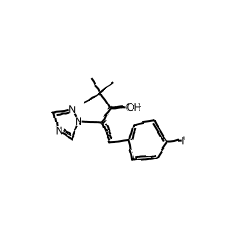 CC(C)(C)C(O)/C(=C\c1ccc(I)cc1)n1cncn1